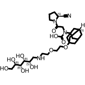 N#C[C@@H]1CCCN1C(=O)CN(C(=O)O)C12CC3C[C@H](CC(OCCOCCNC[C@H](O)[C@@H](O)[C@H](O)[C@H](O)CO)(C3)C1)C2